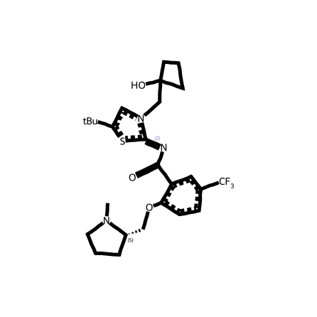 CN1CCC[C@H]1COc1ccc(C(F)(F)F)cc1C(=O)/N=c1\sc(C(C)(C)C)cn1CC1(O)CCC1